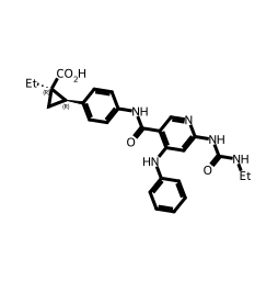 CCNC(=O)Nc1cc(Nc2ccccc2)c(C(=O)Nc2ccc([C@H]3C[C@@]3(CC)C(=O)O)cc2)cn1